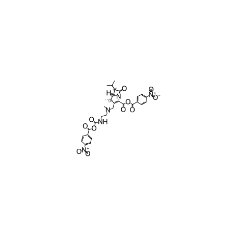 CC(C)[C@H]1C(=O)N2C(C(=O)OC(=O)c3ccc([N+](=O)[O-])cc3)=C(CN(C)CCNC(=O)OC(=O)c3ccc([N+](=O)[O-])cc3)[C@H](C)[C@H]12